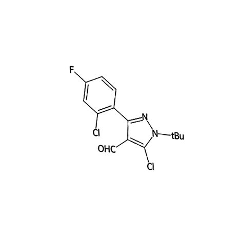 CC(C)(C)n1nc(-c2ccc(F)cc2Cl)c(C=O)c1Cl